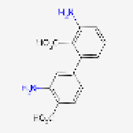 Nc1cc(-c2cccc(N)c2C(=O)O)ccc1C(=O)O